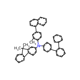 Cc1cc(-c2cccc3ccccc23)ccc1N(c1ccc(-c2ccccc2-c2ccccc2)cc1)c1ccc2c(c1)C(C)(C)c1ccccc1-2